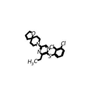 CCc1nc(N2CCC3(CCCO3)CC2)cnc1Sc1cccc(Cl)c1Cl